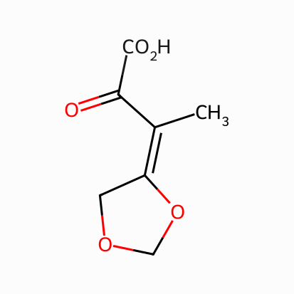 CC(C(=O)C(=O)O)=C1COCO1